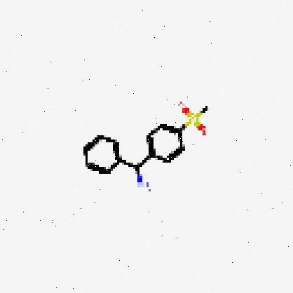 CS(=O)(=O)c1ccc(C(N)c2ccccc2)cc1